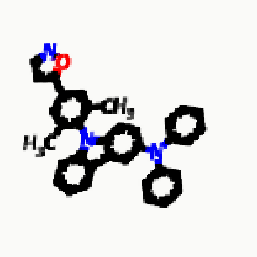 Cc1cc(-c2ccno2)cc(C)c1-n1c2ccccc2c2cc(N(c3ccccc3)c3ccccc3)ccc21